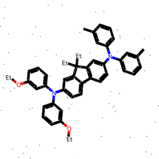 CCOc1cccc(N(c2cccc(OCC)c2)c2ccc3c(c2)C(CC)(CC)c2cc(N(c4cccc(C)c4)c4cccc(C)c4)ccc2-3)c1